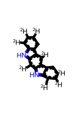 [2H]c1cc2c([nH]c3c([2H])c4[nH]c5c([2H])c([2H])c([2H])cc5c4c([2H])c32)c([2H])c1[2H]